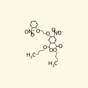 CCCCOC(=O)c1cc(OCCOc2ccccc2[N+](=O)[O-])c([N+](=O)[O-])cc1C(=O)OCCCC